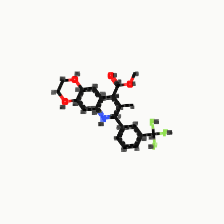 COC(=O)c1c(C)c(-c2cccc(C(F)(F)F)c2)nc2cc3c(cc12)OCCO3